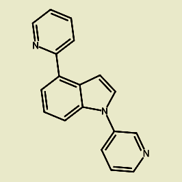 c1ccc(-c2cccc3c2ccn3-c2cccnc2)nc1